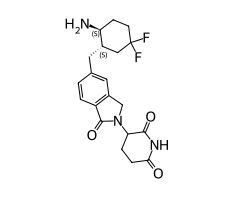 N[C@H]1CCC(F)(F)C[C@@H]1Cc1ccc2c(c1)CN(C1CCC(=O)NC1=O)C2=O